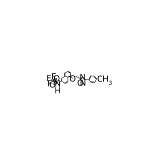 Cc1ccc(-c2noc(COc3cccc4cc(NS(=O)(=O)C(F)(F)F)ccc34)n2)cc1